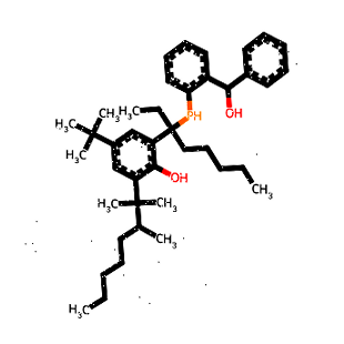 CCCCCC(C)C(C)(C)c1cc(C(C)(C)C)cc(C(CC)(CCCCC)Pc2ccccc2C(O)c2ccccc2)c1O